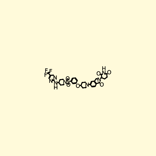 O=C1CCC(N2Cc3cc(N4CCC(Oc5cccc(S(=O)(=O)N6CCC(Nc7ncc(C(F)(F)F)cn7)CC6)c5)CC4)ccc3C2=O)C(=O)N1